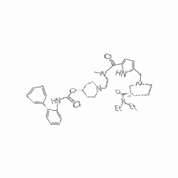 CCN(CC)C(=O)[C@@H]1CCCN(Cc2ccc(C(=O)N(C)CCN3CCC(OC(=O)Nc4ccccc4-c4ccccc4)CC3)[nH]2)C1